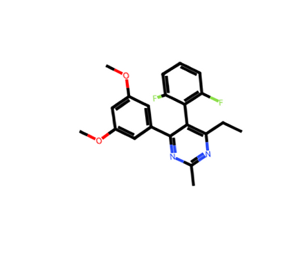 CCc1nc(C)nc(-c2cc(OC)cc(OC)c2)c1-c1c(F)cccc1F